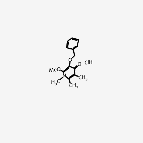 COc1c(OCc2ccccc2)c(=O)c(C)c(C)n1C.Cl